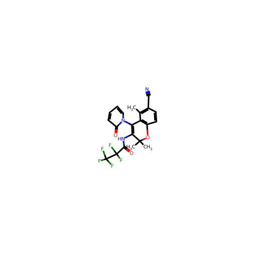 Cc1c(C#N)ccc2c1C(n1ccccc1=O)=C(NC(=O)C(F)(F)C(F)(F)F)C(C)(C)O2